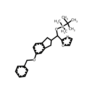 CC(C)(C)[Si](C)(C)OC(c1ncco1)C1Cc2ccc(OCc3ccccc3)cc2C1